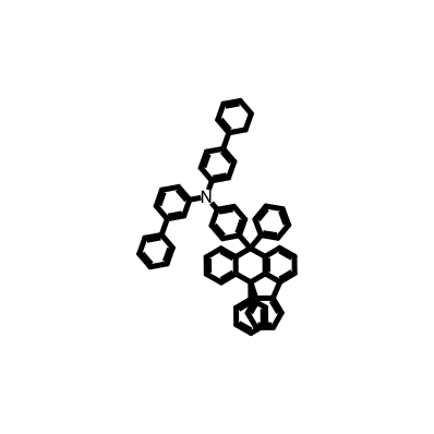 C1=CCCC(c2ccc(N(c3ccc(C4(c5ccccc5)c5ccccc5C5(c6ccccc6)c6ccccc6-c6cccc4c65)cc3)c3cccc(-c4ccccc4)c3)cc2)=C1